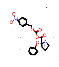 O=C(OCc1ccc([N+](=O)[O-])cc1)OC(=O)[C@]1(Oc2ccccc2)CCCN1